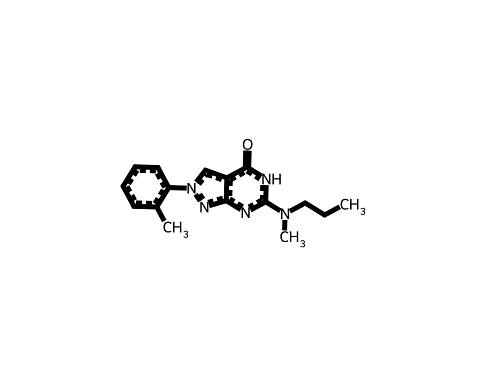 CCCN(C)c1nc2nn(-c3ccccc3C)cc2c(=O)[nH]1